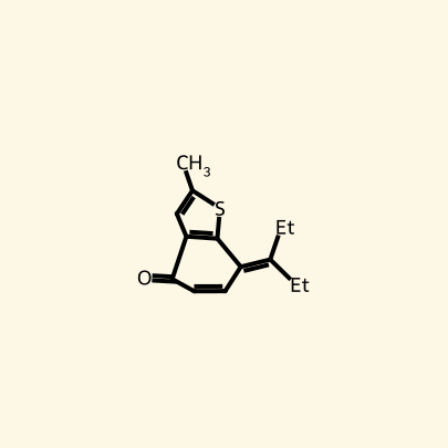 CCC(CC)=C1C=CC(=O)c2cc(C)sc21